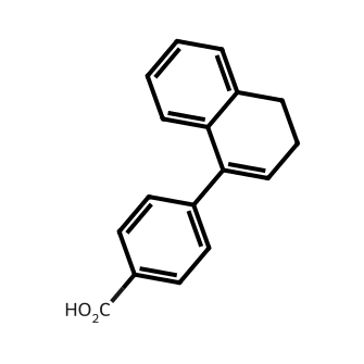 O=C(O)c1ccc(C2=CCCc3ccccc32)cc1